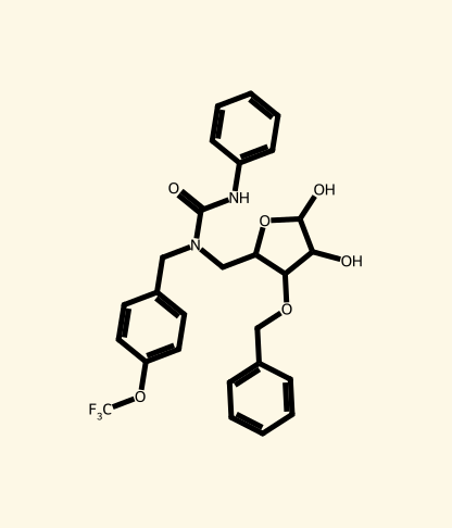 O=C(Nc1ccccc1)N(Cc1ccc(OC(F)(F)F)cc1)CC1OC(O)C(O)C1OCc1ccccc1